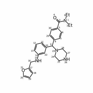 CCN(CC)C(=O)c1ccc(C(c2cccc(NCc3ccco3)c2)N2CCNCC2)cc1